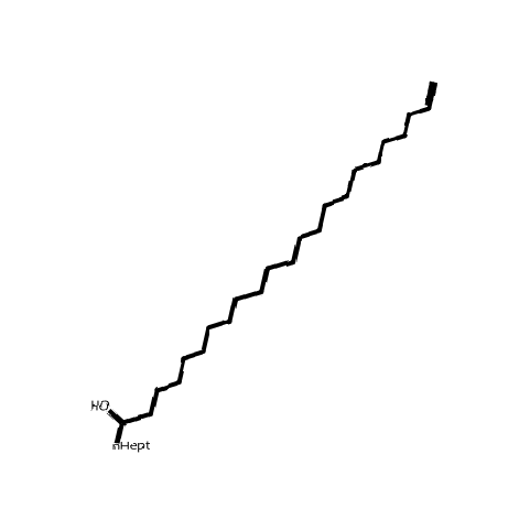 C=CCCCCCCCCCCCCCCCCCCCCC(O)CCCCCCC